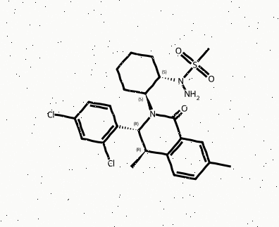 Cc1ccc2c(c1)C(=O)N([C@H]1CCCC[C@@H]1N(N)S(C)(=O)=O)[C@@H](c1ccc(Cl)cc1Cl)[C@@H]2C